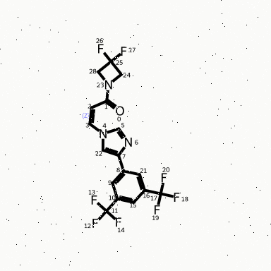 O=C(/C=C\n1cnc(-c2cc(C(F)(F)F)cc(C(F)(F)F)c2)c1)N1CC(F)(F)C1